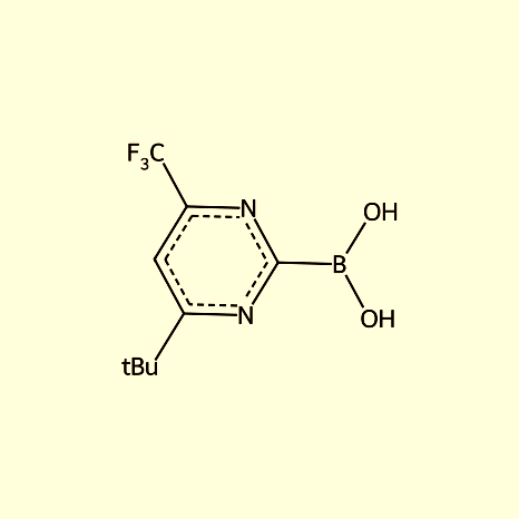 CC(C)(C)c1cc(C(F)(F)F)nc(B(O)O)n1